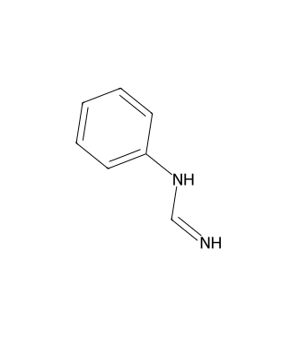 N=CNc1ccccc1